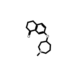 CN1CCCC(Oc2ccc3c(c2)C(=O)CCC3)CC1